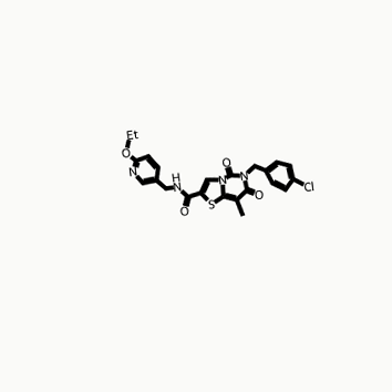 CCOc1ccc(CNC(=O)c2cn3c(=O)n(Cc4ccc(Cl)cc4)c(=O)c(C)c3s2)cn1